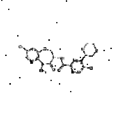 CN1C(=O)[C@@H](NC(=O)c2ncc(Cl)c([C@@H]3COCCO3)n2)COc2cc(Cl)cnc21